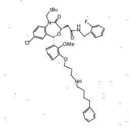 COc1c(OCCCNCCCCc2ccccc2)cccc1[C@H]1O[C@H](CC(=O)NCc2ccccc2F)C(=O)N(CC(C)(C)C)c2ccc(Cl)cc21